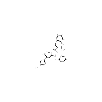 Nc1ccc(-c2cc([C@H](Cc3ccccc3)NC(=O)C=Cc3cc(Cl)ccc3-n3cnnn3)nnc2Cl)cc1